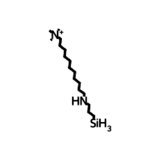 C[N+](C)(C)CCCCCCCCCCCNCCC[SiH3]